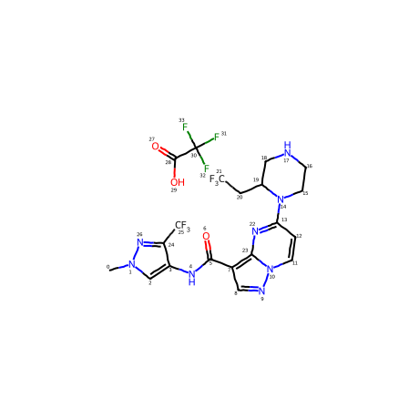 Cn1cc(NC(=O)c2cnn3ccc(N4CCNCC4CC(F)(F)F)nc23)c(C(F)(F)F)n1.O=C(O)C(F)(F)F